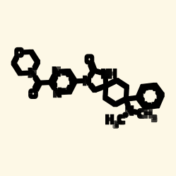 CN(C)C1(c2ccccc2)CCC2(CC1)CN(c1cnc(C(=O)N3CCOCC3)nc1)C(=O)N2